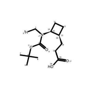 [2H]CN(C(=O)OC(C)(C)C)[C@H]1CC[C@H]1CCC(=O)O